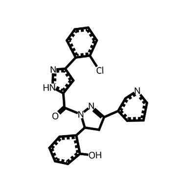 O=C(c1cc(-c2ccccc2Cl)n[nH]1)N1N=C(c2cccnc2)CC1c1ccccc1O